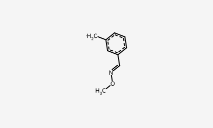 [CH2]c1cccc(C=NOC)c1